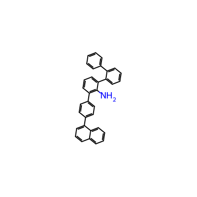 Nc1c(-c2ccc(-c3cccc4ccccc34)cc2)cccc1-c1ccccc1-c1ccccc1